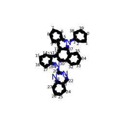 c1ccc(-n2c3ccccc3c3c4c5ccccc5n(-c5ncc6ccccc6n5)c4c4ccccc4c32)cc1